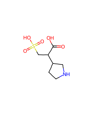 O=C(O)C(CS(=O)(=O)O)C1CCNC1